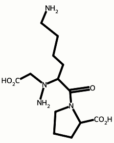 NCCCCC(C(=O)N1CCCC1C(=O)O)N(N)CC(=O)O